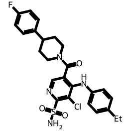 CCc1ccc(Nc2c(C(=O)N3CCC(c4ccc(F)cc4)CC3)cnc(S(N)(=O)=O)c2Cl)cc1